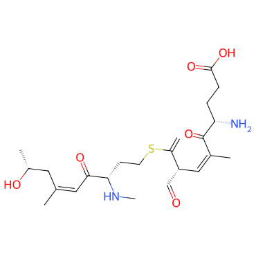 C=C(SCC[C@H](NC)C(=O)/C=C(/C)C[C@@H](C)O)[C@@H](C=O)/C=C(/C)C(=O)[C@@H](N)CCC(=O)O